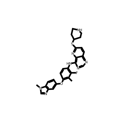 Cc1c(Oc2ccc3c(c2)ncn3C)ccc(Nc2ncnc3ccc(SC4CCNCC4)nc23)c1F